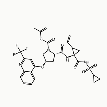 C=CC1C[C@]1(NC(=O)[C@@H]1C[C@@H](Oc2cc(C(F)(F)F)nc3ccccc23)CN1C(=O)OC(=C)C)C(=O)NS(=O)(=O)C1CC1